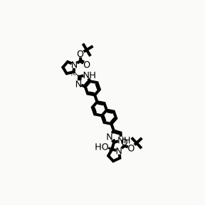 CC(C)(C)OC(=O)N1CCC[C@H]1c1nc2cc(-c3ccc4cc(-c5c[nH]c([C@@]6(O)CCCN6C(=O)OC(C)(C)C)n5)ccc4c3)ccc2[nH]1